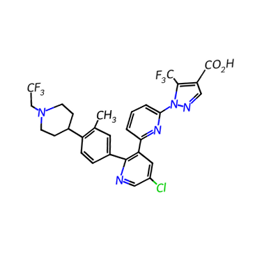 Cc1cc(-c2ncc(Cl)cc2-c2cccc(-n3ncc(C(=O)O)c3C(F)(F)F)n2)ccc1C1CCN(CC(F)(F)F)CC1